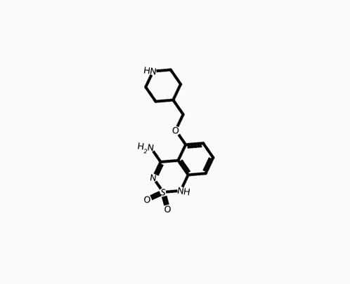 NC1=NS(=O)(=O)Nc2cccc(OCC3CCNCC3)c21